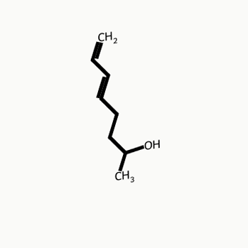 C=C/C=C/CCC(C)O